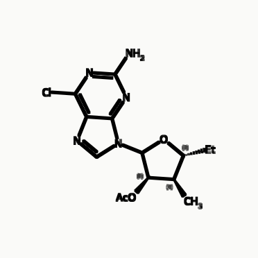 CC[C@H]1OC(n2cnc3c(Cl)nc(N)nc32)[C@H](OC(C)=O)[C@@H]1C